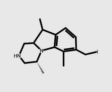 Cc1c(CI)ccc2c1N1C(CNC[C@H]1C)C2C